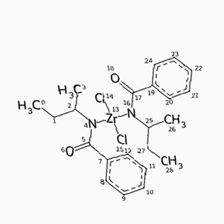 CCC(C)[N](C(=O)c1ccccc1)[Zr]([Cl])([Cl])[N](C(=O)c1ccccc1)C(C)CC